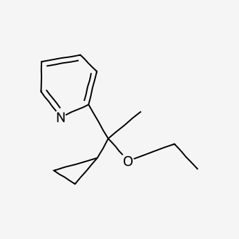 CCOC(C)(c1ccccn1)C1CC1